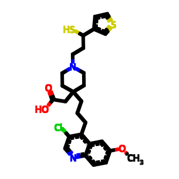 COc1ccc2ncc(Cl)c(CCCC3(CC(=O)O)CCN(CCC(S)c4ccsc4)CC3)c2c1